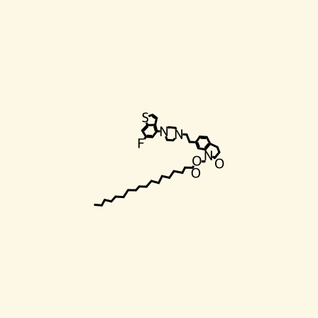 CCCCCCCCCCCCCCCCCC(=O)OCN1C(=O)CCc2ccc(CCN3CCN(c4cc(F)cc5sccc45)CC3)cc21